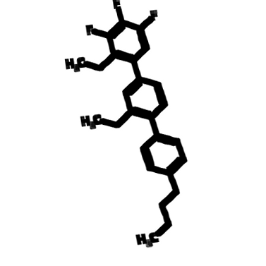 CCCCc1ccc(-c2ccc(-c3cc(F)c(F)c(F)c3CC)cc2CC)cc1